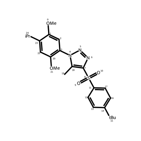 COc1cc(-n2nnc(S(=O)(=O)c3ccc(C(C)(C)C)cc3)c2C)c(OC)cc1C(C)C